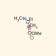 CCc1cc(/C(C)=N/OCc2ccc(C3CCCCC3)c(OC)c2)ccc1CN1CC(C)C1